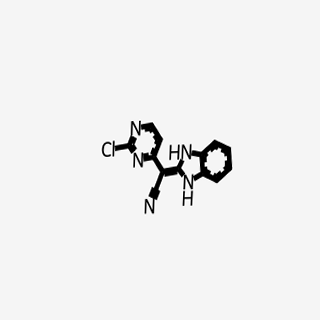 N#CC(=C1Nc2ccccc2N1)c1ccnc(Cl)n1